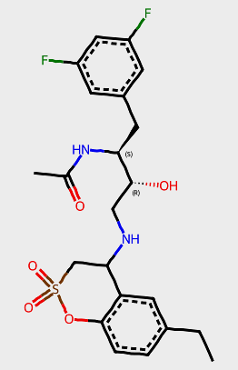 CCc1ccc2c(c1)C(NC[C@@H](O)[C@H](Cc1cc(F)cc(F)c1)NC(C)=O)CS(=O)(=O)O2